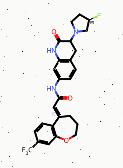 O=C(/C=C1\CCCOc2cc(C(F)(F)F)ccc21)Nc1ccc2c(c1)NC(=O)C(N1CC[C@@H](F)C1)C2